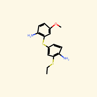 CCSc1cc(Sc2cc(OC)ccc2N)ccc1N